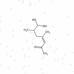 CC(=O)C=C(C)CC(C)C(O)O